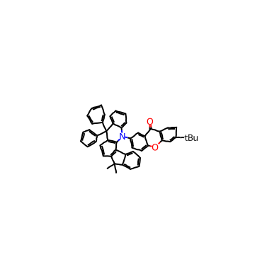 CC(C)(C)c1ccc2c(=O)c3cc(N4c5ccccc5C(c5ccccc5)(c5ccccc5)c5ccc6c(c54)-c4ccccc4C6(C)C)ccc3oc2c1